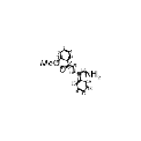 COc1ccccc1C(=O)CC[C@@H](CN)c1ccccc1